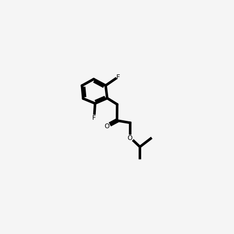 CC(C)OCC(=O)Cc1c(F)cccc1F